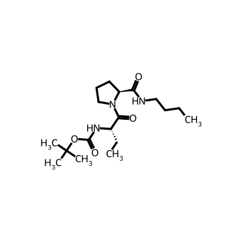 CCCCNC(=O)[C@@H]1CCCN1C(=O)[C@H](CC)NC(=O)OC(C)(C)C